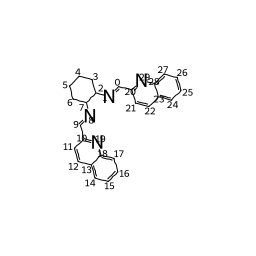 C(=NC1CCCCC1N=Cc1ccc2ccccc2n1)c1ccc2ccccc2n1